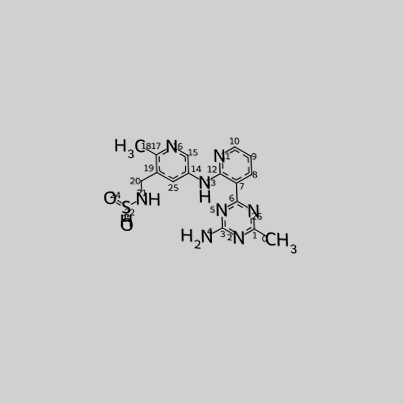 Cc1nc(N)nc(-c2cccnc2Nc2cnc(C)c(CN[SH](=O)=O)c2)n1